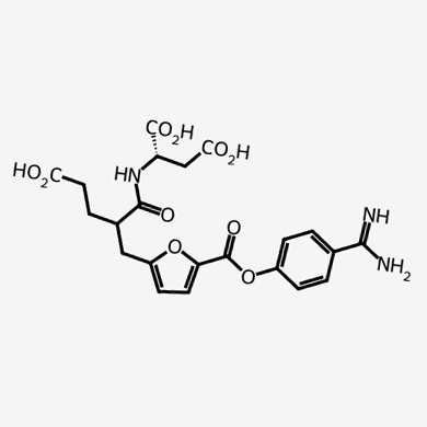 N=C(N)c1ccc(OC(=O)c2ccc(CC(CCC(=O)O)C(=O)N[C@@H](CC(=O)O)C(=O)O)o2)cc1